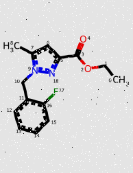 CCOC(=O)c1cc(C)n(Cc2ccccc2F)n1